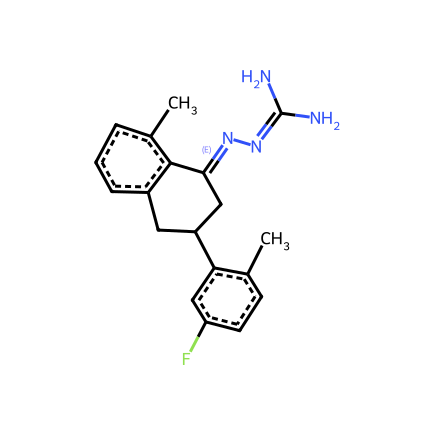 Cc1ccc(F)cc1C1C/C(=N\N=C(N)N)c2c(C)cccc2C1